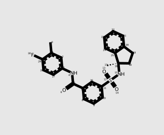 Cc1cc(NC(=O)c2cccc(S(=O)(=O)N[C@]3(C)CCc4ccccc43)c2)ccc1F